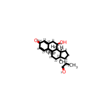 CC(C=O)[C@H]1CC[C@H]2[C@@H]3C(O)CC4=CC(=O)C=C[C@]4(C)[C@H]3CC[C@]12C